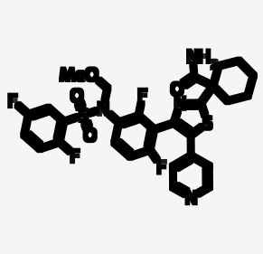 COCN(c1ccc(F)c(-c2nc(C3(C(N)=O)CCCCC3)sc2-c2ccncc2)c1F)S(=O)(=O)c1cc(F)ccc1F